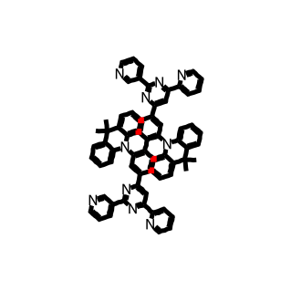 CC1(C)c2ccccc2N(c2cc(-c3cc(-c4ccccn4)nc(-c4cccnc4)n3)ccc2-c2ccc(-c3cc(-c4ccccn4)nc(-c4cccnc4)n3)cc2N2c3ccccc3C(C)(C)c3ccccc32)c2ccccc21